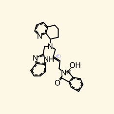 O=C1c2ccccc2[C@@H](O)N1C/C=C/CN(Cc1nc2ccccc2[nH]1)C1CCCc2cccnc21